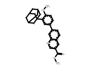 COC(=O)c1cnc2cc(-c3ccc(OC)c(C45CC6CC(CC(C6)C4)C5)c3)ccc2c1